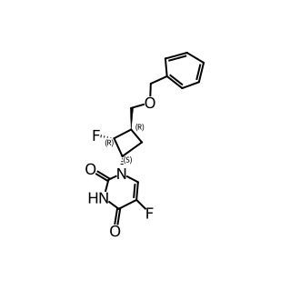 O=c1[nH]c(=O)n([C@H]2C[C@H](COCc3ccccc3)[C@H]2F)cc1F